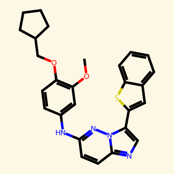 COc1cc(Nc2ccc3ncc(-c4cc5ccccc5s4)n3n2)ccc1OCC1CCCC1